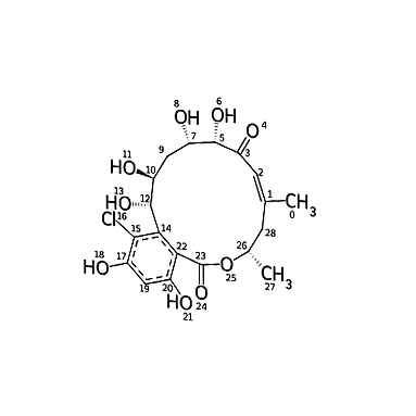 C/C1=C/C(=O)[C@@H](O)[C@@H](O)C[C@H](O)[C@@H](O)c2c(Cl)c(O)cc(O)c2C(=O)O[C@@H](C)C1